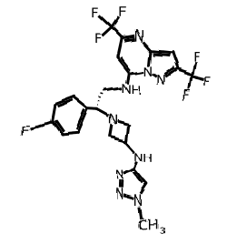 Cn1cc(NC2CN([C@@H](CNc3cc(C(F)(F)F)nc4cc(C(F)(F)F)nn34)c3ccc(F)cc3)C2)nn1